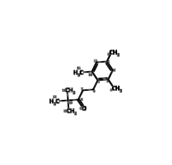 Cc1cc(C)c(CCC(=O)C(C)(C)C)c(C)c1